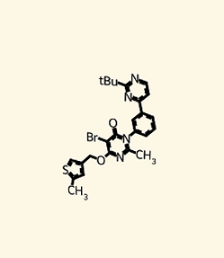 Cc1cc(COc2nc(C)n(-c3cccc(-c4ccnc(C(C)(C)C)n4)c3)c(=O)c2Br)cs1